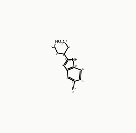 O=C(O)CC(CCl)c1cc2cc(Br)ccc2[nH]1